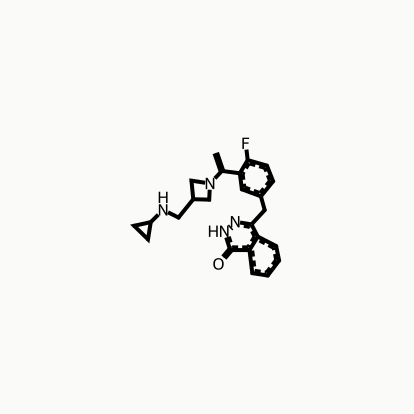 C=C(c1cc(Cc2n[nH]c(=O)c3ccccc23)ccc1F)N1CC(CNC2CC2)C1